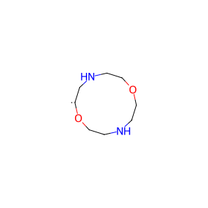 [CH]1CNCCOCCNCCO1